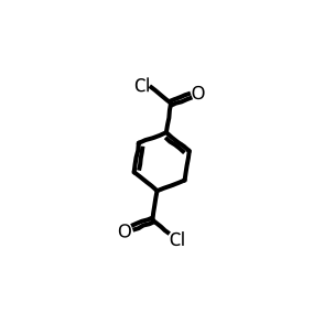 O=C(Cl)C1=CCC(C(=O)Cl)C=C1